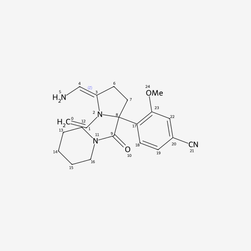 C=CN1/C(=C\N)CCC1(C(=O)N1CCCCC1)c1ccc(C#N)cc1OC